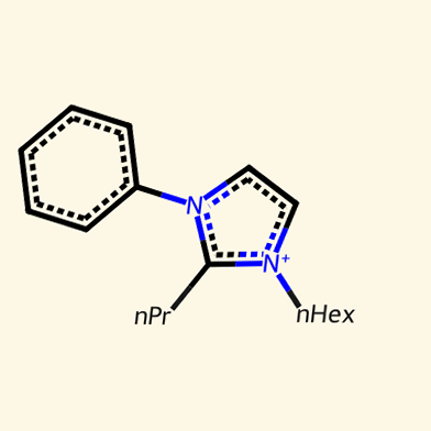 CCCCCC[n+]1ccn(-c2ccccc2)c1CCC